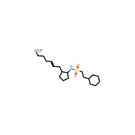 O=C(O)CCC/C=C/CC1CCCC1NS(=O)(=O)CCC1CCCCC1